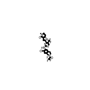 Cn1ccc2sc(-c3nc(Nc4cc5c(cc4Cl)CN(C(=O)C(F)(F)F)CC5)ncc3C(F)(F)F)cc2c1=O